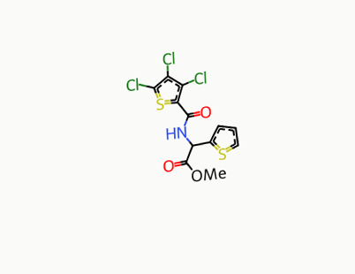 COC(=O)C(NC(=O)c1sc(Cl)c(Cl)c1Cl)c1cccs1